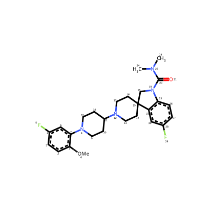 COc1ccc(F)cc1N1CCC(N2CCC3(CC2)CN(C(=O)N(C)C)c2ccc(F)cc23)CC1